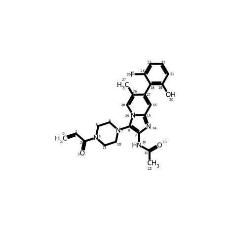 C=CC(=O)N1CCN(c2c(NC(C)=O)nc3cc(-c4c(O)cccc4F)c(C)cn23)CC1